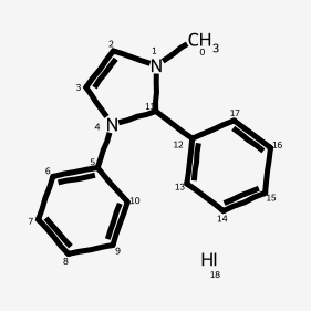 CN1C=CN(c2ccccc2)C1c1ccccc1.I